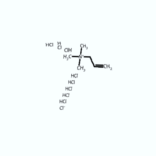 C=CC[N+](C)(C)C.Cl.Cl.Cl.Cl.Cl.Cl.Cl.Cl.[Cl-]